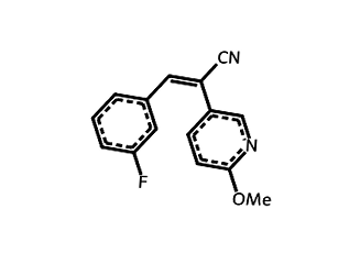 COc1ccc(/C(C#N)=C\c2cccc(F)c2)cn1